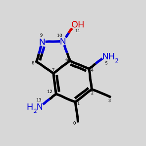 Cc1c(C)c(N)c2c(cnn2O)c1N